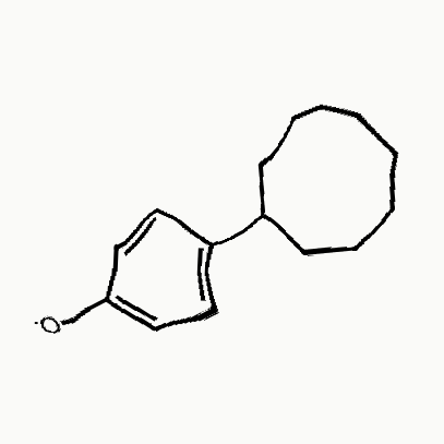 [O]c1ccc(C2CCCCCCC2)cc1